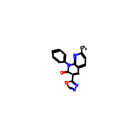 O=c1c(-c2nnco2)[c]c2ccc(C(F)(F)F)nc2n1-c1ccccc1